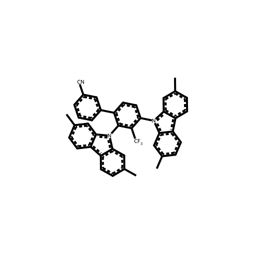 Cc1ccc2c3ccc(C)cc3n(-c3ccc(-c4cccc(C#N)c4)c(-n4c5cc(C)ccc5c5ccc(C)cc54)c3C(F)(F)F)c2c1